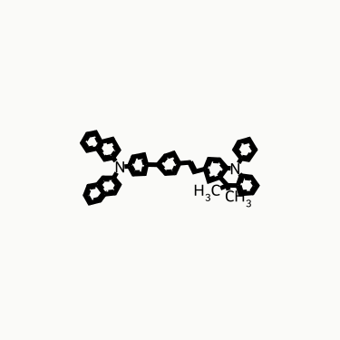 CC1(C)c2ccccc2N(c2ccccc2)c2ccc(/C=C/c3ccc(-c4ccc(N(c5ccc6ccccc6c5)c5ccc6ccccc6c5)cc4)cc3)cc21